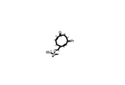 CC(C)C1/C=C\C(CO[Si](C)(C)C(C)(C)C)C/C=C\C(=O)CC1